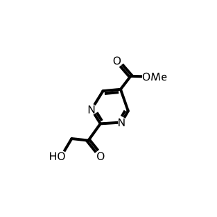 COC(=O)c1cnc(C(=O)CO)nc1